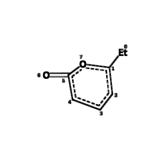 CCc1cccc(=O)o1